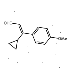 COc1ccc(/C(=C/C=O)C2CC2)cc1